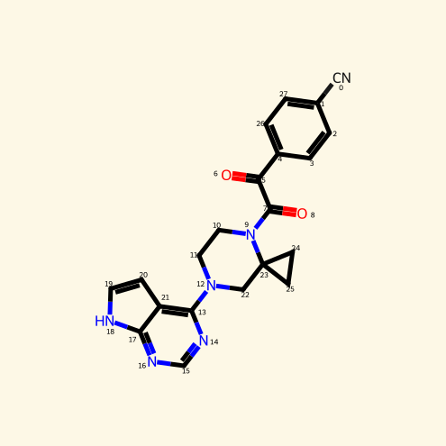 N#Cc1ccc(C(=O)C(=O)N2CCN(c3ncnc4[nH]ccc34)CC23CC3)cc1